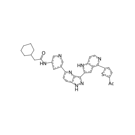 CC(=O)c1ccc(-c2nccc3[nH]c(-c4n[nH]c5ccc(-c6cncc(NC(=O)CC7CCCCC7)c6)nc45)cc23)s1